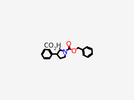 O=C(O)[C@@H]1C(c2ccccc2)CCN1C(=O)OCc1ccccc1